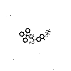 Cc1c(O[Si](C)(C)C(C)(C)C)ccc2cc(C(O)c3cn(C(c4ccccc4)(c4ccccc4)c4ccccc4)cn3)ccc12